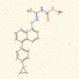 C/C(=N\Cc1cccc2c(-c3ccc(C4CC4)cc3)cccc12)NC(=O)OC(C)(C)C